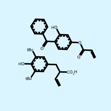 C=CC(=O)Oc1ccc(C(=O)c2ccccc2)c(O)c1.C=CC(Cc1cc(C(C)(C)C)c(O)c(C(C)(C)C)c1)C(=O)O